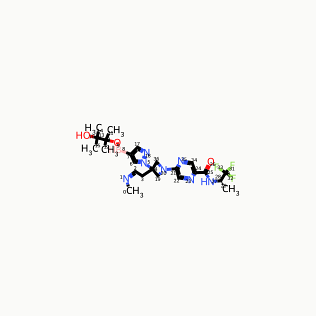 C/N=C\CC1(n2cc(BOC(C)(C)C(C)(C)O)cn2)CN(c2cnc(C(=O)N[C@@H](C)C(F)(F)F)cn2)C1